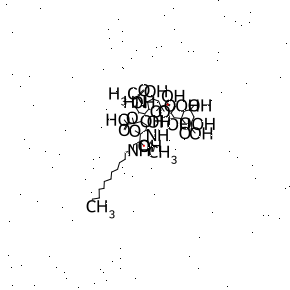 CCCCCCCCCCCCNCC(O)C1OC(OC(CO)C(O)C2OC(OC(CO)C(O)C3CC(O)CC(O)(C(=O)O)O3)(C(=O)O)CC(O)C2NC(C)=O)(C(=O)O)CC(O)C1NC(=O)CC